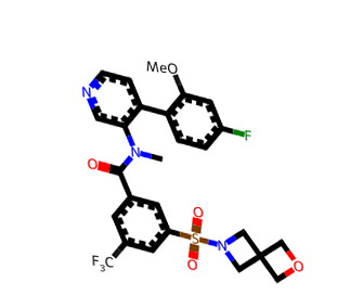 COc1cc(F)ccc1-c1ccncc1N(C)C(=O)c1cc(C(F)(F)F)cc(S(=O)(=O)N2CC3(COC3)C2)c1